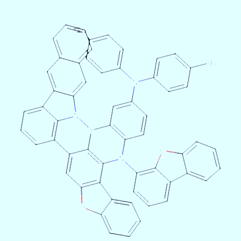 CC(C)(C)c1ccc(N(c2ccc(C(C)(C)C)cc2)c2ccc3c(c2)B2c4c(cc5oc6ccccc6c5c4N3c3cccc4c3oc3ccccc34)-c3cccc4c5cc6ccccc6cc5n2c34)cc1